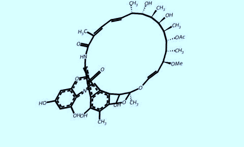 CO[C@H]1/C=C/O[C@@]2(C)Oc3c(C)c(O)c4c(=O)c(c5oc6cc(O)cc(O)c6nc-5c4c3C2O)NC(=O)/C(C)=C\C=C\[C@H](C)[C@H](O)[C@@H](C)[C@@H](O)[C@@H](C)[C@H](OC(C)=O)[C@@H]1C